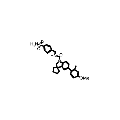 COc1ccc(-c2ccc3c(c2)C2(CCCC2)CN3C(=O)NCc2ccc(S(N)(=O)=O)cc2)c(C)c1